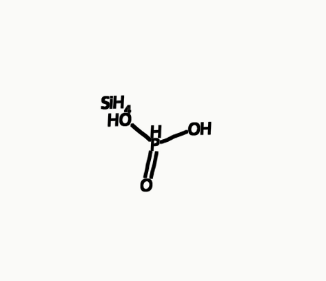 O=[PH](O)O.[SiH4]